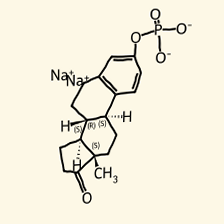 C[C@]12CC[C@@H]3c4ccc(OP(=O)([O-])[O-])cc4CC[C@H]3[C@@H]1CCC2=O.[Na+].[Na+]